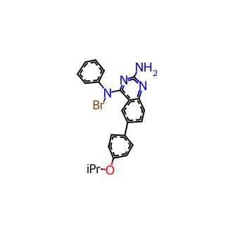 CC(C)Oc1ccc(-c2ccc3nc(N)nc(N(Br)c4ccccc4)c3c2)cc1